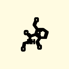 O=CNC(=O)C1C(C=O)C2C=CC1(C=O)O2